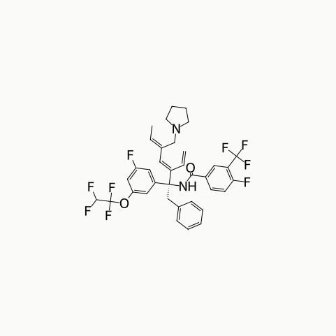 C=C/C(=C\C(=C\C)CN1CCCC1)[C@@](Cc1ccccc1)(NC(=O)c1ccc(F)c(C(F)(F)F)c1)c1cc(F)cc(OC(F)(F)C(F)F)c1